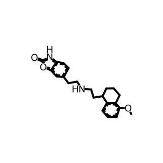 COc1cccc2c1CCCC2CCNCCc1ccc2[nH]c(=O)oc2c1